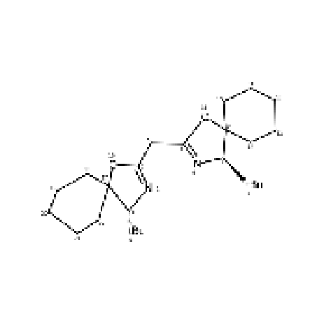 CC(C)(C)[C@H]1N=C(CC2=N[C@H](C(C)(C)C)C3(CCCCC3)O2)OC12CCCCC2